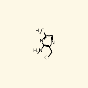 Cc1cnc(CCl)c(N)n1